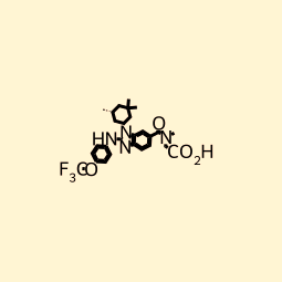 C[C@H]1C[C@@H](n2c(Nc3ccc(OC(F)(F)F)cc3)nc3ccc(C(=O)N(C)CC(=O)O)cc32)CC(C)(C)C1